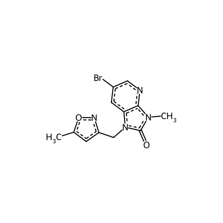 Cc1cc(Cn2c(=O)n(C)c3ncc(Br)cc32)no1